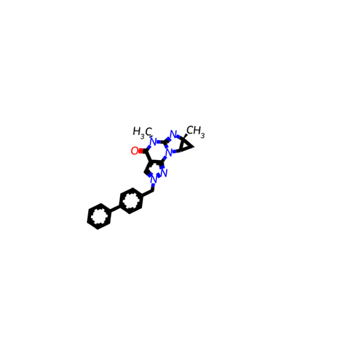 CN1C(=O)c2cn(Cc3ccc(-c4ccccc4)cc3)nc2N2C1=N[C@]1(C)CC21